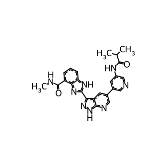 CNC(=O)c1cccc2[nH]c(-c3n[nH]c4ncc(-c5cncc(NC(=O)C(C)C)c5)cc34)nc12